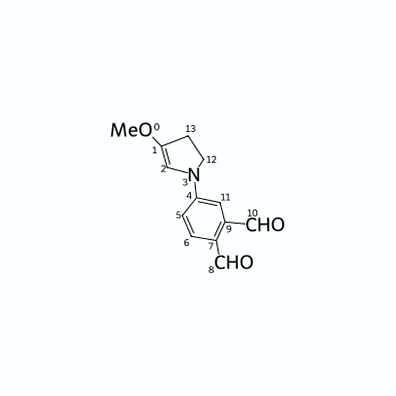 COC1=CN(c2ccc(C=O)c(C=O)c2)CC1